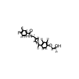 Cc1cc(C(=O)NCC2CN(C(C)c3ccc(OC[C@@H](C)O)c(C)c3C)C2)ccc1F